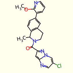 COc1ncccc1-c1ccc2c(c1)CCN(C(=O)c1cc3ncc(Cl)cn3n1)C2C